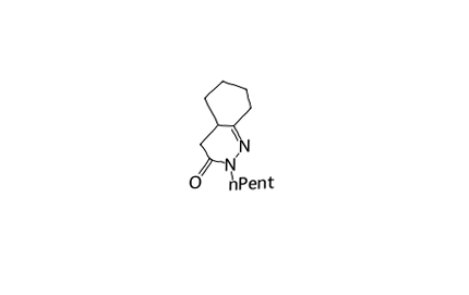 CCCCCN1N=C2CCCCC2CC1=O